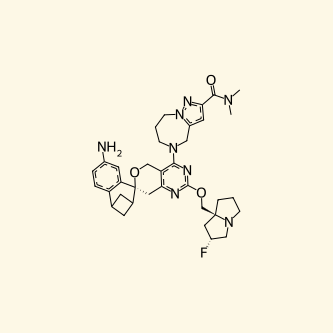 CN(C)C(=O)c1cc2n(n1)CCCN(c1nc(OC[C@@]34CCCN3C[C@H](F)C4)nc3c1CO[C@]1(C3)c3cc(N)ccc3C3CC1C3)C2